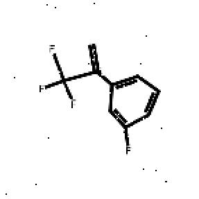 C=C(c1cccc(F)c1)C(F)(F)F